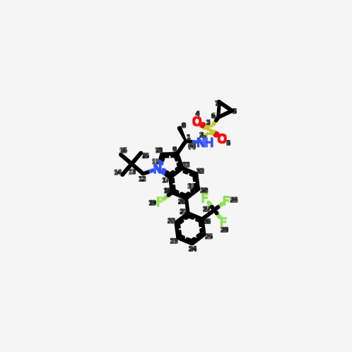 C[C@@H](NS(=O)(=O)C1CC1)c1cn(CC(C)(C)C)c2c(F)c(-c3ccccc3C(F)(F)F)ccc12